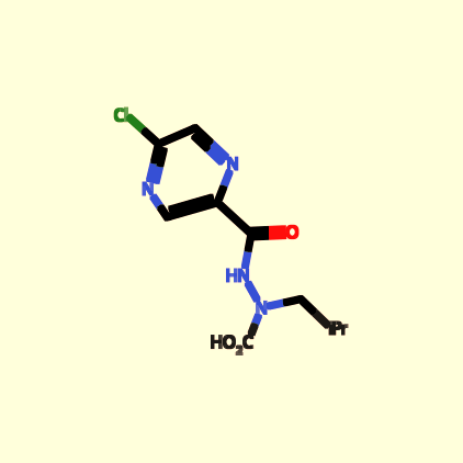 CC(C)CN(NC(=O)c1cnc(Cl)cn1)C(=O)O